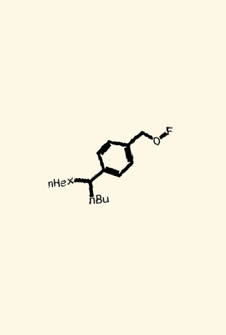 CCCCCCC(CCCC)c1ccc(COF)cc1